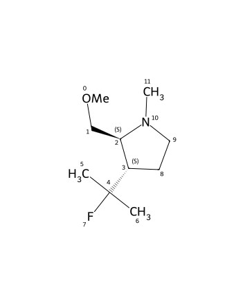 COC[C@@H]1[C@@H](C(C)(C)F)CCN1C